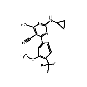 COc1cc(-c2nc(NC3CC3)nc(O)c2C#N)ccc1C(F)(F)F